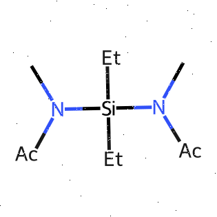 CC[Si](CC)(N(C)C(C)=O)N(C)C(C)=O